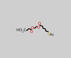 CC(=O)SCCCCCC(=O)OCCOC(=O)CCC(=O)O